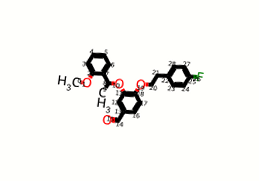 COc1ccccc1C(C)Oc1cc(C=O)ccc1OCCc1ccc(F)cc1